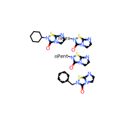 CCCCCCn1sc2nccn2c1=O.CCCCCn1sc2nccn2c1=O.O=c1n(C2CCCCC2)sc2nccn12.O=c1n(Cc2ccccc2)sc2nccn12